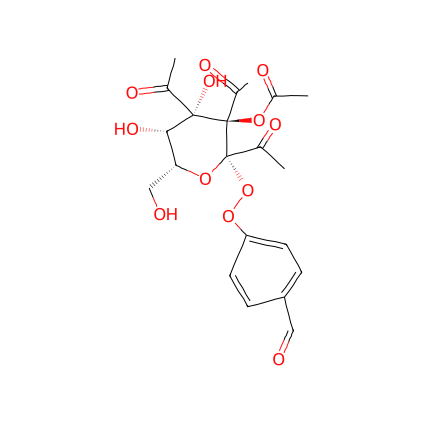 CC(=O)O[C@@]1(C(C)=O)[C@@](OOc2ccc(C=O)cc2)(C(C)=O)O[C@H](CO)[C@H](O)[C@@]1(O)C(C)=O